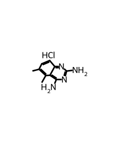 Cc1ccc2nc(N)nc(N)c2c1C.Cl